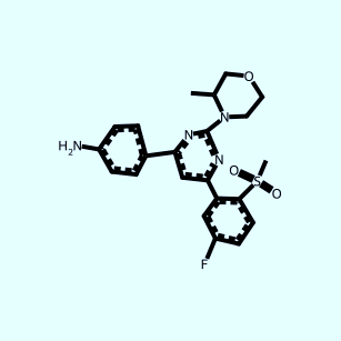 CC1COCCN1c1nc(-c2ccc(N)cc2)cc(-c2cc(F)ccc2S(C)(=O)=O)n1